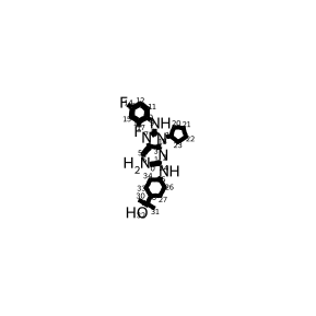 C=C(/N=C1\C(=C/N)N=C(Nc2ccc(F)cc2F)N1C1CCCC1)NC1CCC(C(C)(C)O)CC1